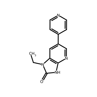 CCn1c(=O)[nH]c2ncc(-c3ccncc3)cc21